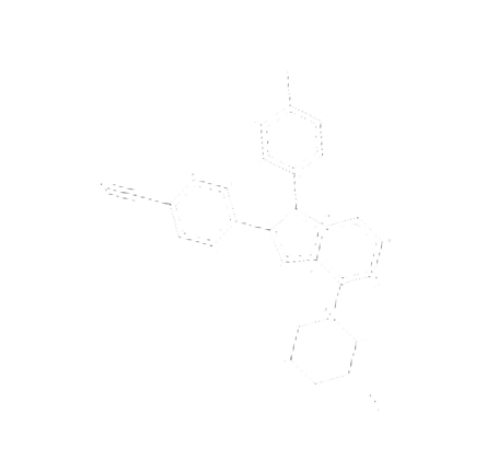 Cc1ccc(-c2c(-c3ccc(C#N)cc3)cc3c(N4CCC[C@@H](N)C4)nccn23)cc1